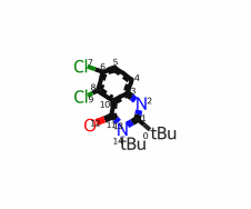 CC(C)(C)c1nc2ccc(Cl)c(Cl)c2c(=O)n1C(C)(C)C